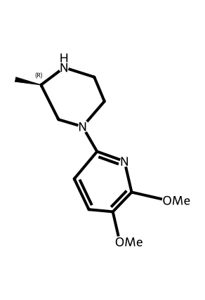 COc1ccc(N2CCN[C@H](C)C2)nc1OC